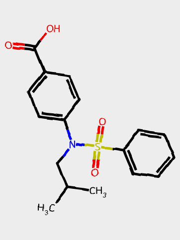 CC(C)CN(c1ccc(C(=O)O)cc1)S(=O)(=O)c1ccccc1